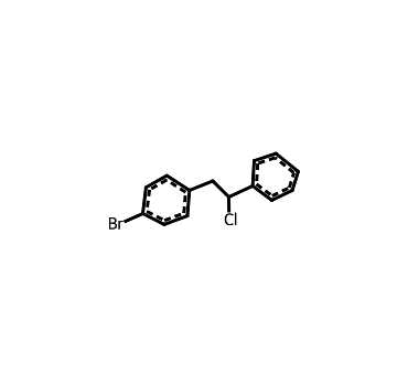 ClC(Cc1ccc(Br)cc1)c1ccccc1